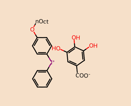 CCCCCCCCOc1ccc([I+]c2ccccc2)cc1.O=C([O-])c1cc(O)c(O)c(O)c1